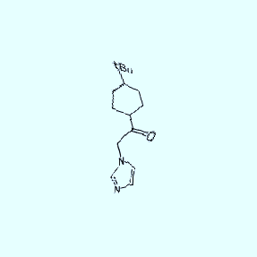 CC(C)(C)C1CCC(C(=O)Cn2ccnc2)CC1